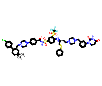 CC1(C)CCC(c2ccc(Cl)cc2)=C(CN2CCN(c3ccc(C(=O)NS(=O)(=O)c4ccc(N[C@H](CCN5CCN(Cc6cccc(N7CCC(=O)NC7=O)c6)CC5)CSc5ccccc5)c(S(=O)(=O)C(F)(F)F)c4)cc3)CC2)C1